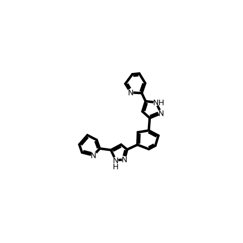 c1ccc(-c2cc(-c3cccc(-c4cc(-c5ccccn5)[nH]n4)c3)n[nH]2)nc1